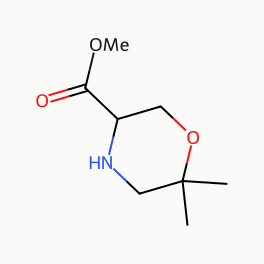 COC(=O)C1COC(C)(C)CN1